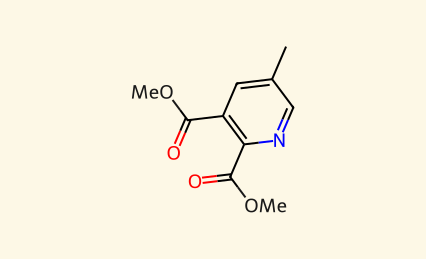 COC(=O)c1cc(C)cnc1C(=O)OC